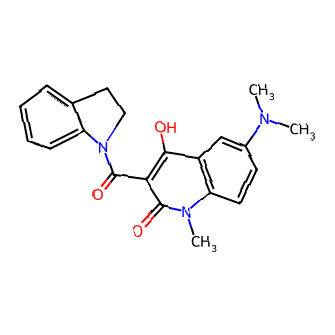 CN(C)c1ccc2c(c1)c(O)c(C(=O)N1CCc3ccccc31)c(=O)n2C